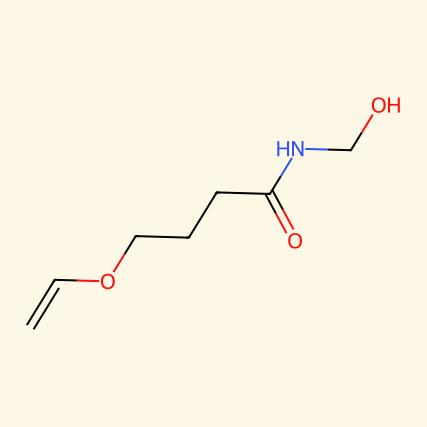 C=COCCCC(=O)NCO